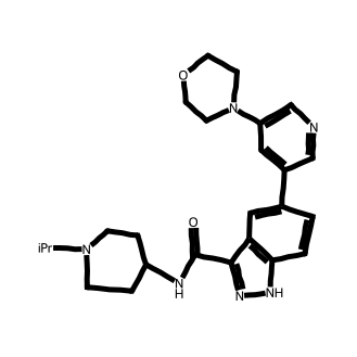 CC(C)N1CCC(NC(=O)c2n[nH]c3ccc(-c4cncc(N5CCOCC5)c4)cc23)CC1